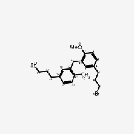 COc1ccc(CCCBr)cc1Cc1cc(CCCBr)ccc1C